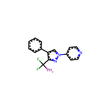 FC(F)(P)c1nn(-c2ccncc2)cc1-c1ccccc1